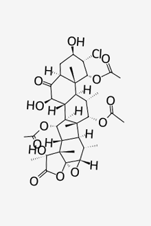 CC(=O)O[C@@H]1[C@H]2[C@H]3[C@H]([C@H](C)[C@H](OC(C)=O)[C@]2(C)[C@H]2[C@H](C)[C@@H]4O[C@@]45OC(=O)[C@@](C)(O)[C@]5(C)[C@H]12)[C@]1(C)[C@H](C[C@@H](O)[C@H](Cl)[C@@H]1OC(C)=O)C(=O)[C@@H]3O